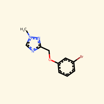 Cn1cnc(COc2cccc(Br)c2)n1